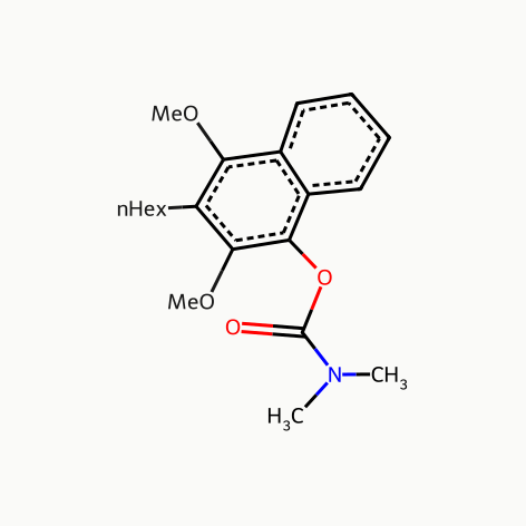 CCCCCCc1c(OC)c(OC(=O)N(C)C)c2ccccc2c1OC